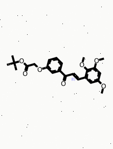 COc1cc(/C=C/C(=O)c2cccc(OCC(=O)OC(C)(C)C)c2)c(OC)c(OC)c1